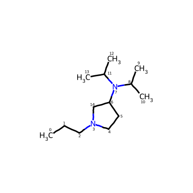 CCCN1CCC(N(C(C)C)C(C)C)C1